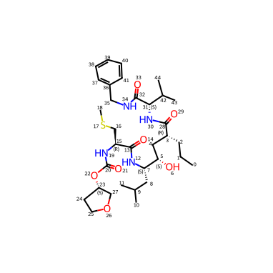 CCC[C@H](C[C@H](O)[C@H](CC(C)C)NC(=O)[C@H](CSC)NC(=O)O[C@H]1CCOC1)C(=O)N[C@H](C(=O)NCc1ccccc1)C(C)C